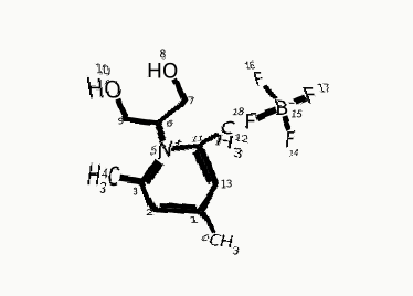 Cc1cc(C)[n+](C(CO)CO)c(C)c1.F[B-](F)(F)F